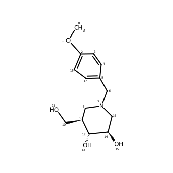 COc1ccc(CN2C[C@H](CO)[C@@H](O)[C@H](O)C2)cc1